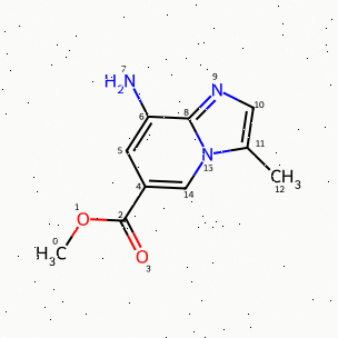 COC(=O)c1cc(N)c2ncc(C)n2c1